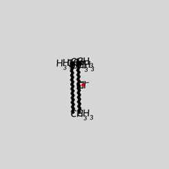 CCCCCCCCCCCCCCCCCCCCCC[N+](C)(C)C.CCCCCCCCCCCCCCCCCCCCCC[N+](C)(C)C.[Cl-].[Cl-]